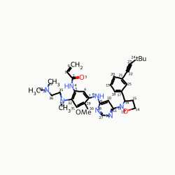 C=CC(=O)Nc1cc(Nc2cc(N3OCCC3c3cccc(C#CC(C)(C)C)c3)ncn2)c(OC)cc1N(C)CCN(C)C